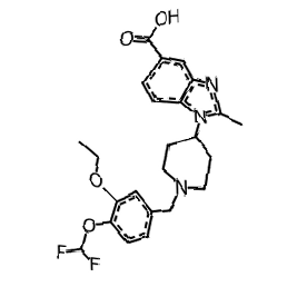 CCOc1cc(CN2CCC(n3c(C)nc4cc(C(=O)O)ccc43)CC2)ccc1OC(F)F